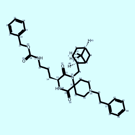 CC1(C)C2C[C@@H]1CC[C@@H]2CN1C(=O)[C@H](CCCNC(=O)OCc2ccccc2)NC(=O)C12CCN(CCc1ccccc1)CC2